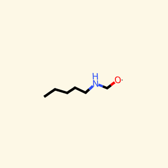 CCCCCNC[O]